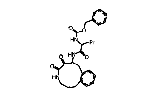 CC(C)C(NC(=O)OCc1ccccc1)C(=O)NC1Cc2ccccc2CCCNC(=O)C1=O